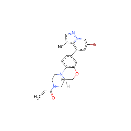 C=CC(=O)N1CCN2c3ccc(-c4cc(Br)cn5ncc(C#N)c45)cc3OC[C@H]2C1